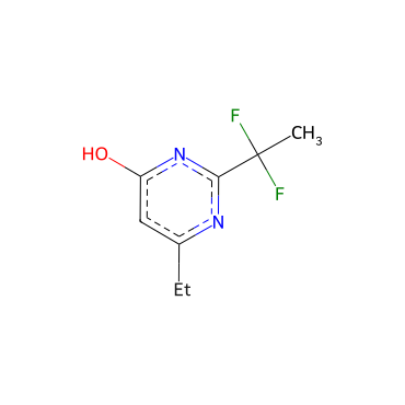 CCc1cc(O)nc(C(C)(F)F)n1